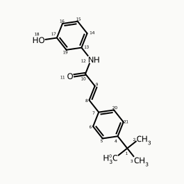 CC(C)(C)c1ccc(C=CC(=O)Nc2cccc(O)c2)cc1